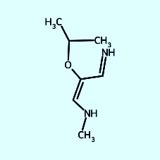 CN/C=C(\C=N)OC(C)C